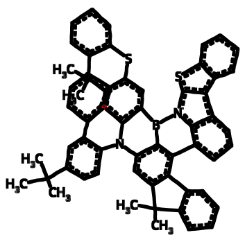 CC(C)(C)c1ccc(N2c3cc4c(cc3B3c5c2cc2c(c5-c5cccc6c7c8ccccc8sc7n3c56)-c3ccccc3C2(C)C)Sc2ccccc2C4(C)C)c(-c2ccccc2)c1